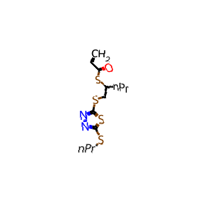 C=CC(=O)SC(CCC)CSc1nnc(SCCC)s1